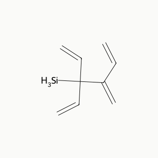 C=CC(=C)C([SiH3])(C=C)C=C